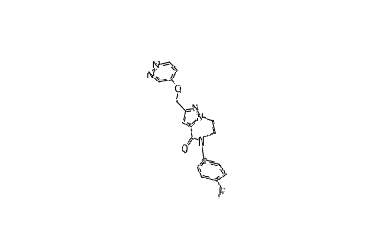 O=C1c2cc(COc3ccnnc3)nn2CCN1c1ccc(F)cc1